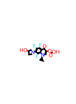 O=C(O)Oc1cn(C2CC2)c2c(F)c(N3CCC(O)C3)c(F)c(F)c2c1=O